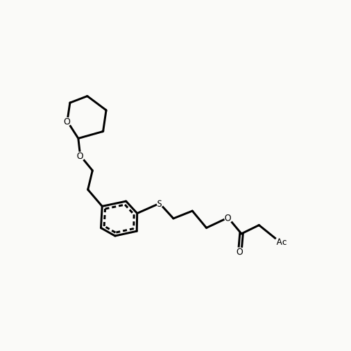 CC(=O)CC(=O)OCCCSc1cccc(CCOC2CCCCO2)c1